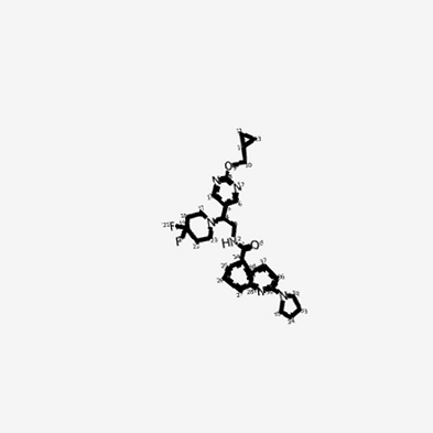 O=C(NCC(c1cnc(OCC2CC2)nc1)N1CCC(F)(F)CC1)c1cccc2nc(N3CCCC3)ccc12